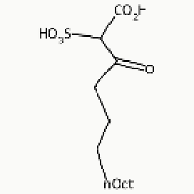 CCCCCCCCCCCC(=O)C(C(=O)O)S(=O)(=O)O